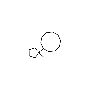 C[N+]1(C2CCCCCCCCC2)CCCC1